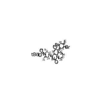 CC1CN(c2nc(=O)n3c4c(c(-c5cc(Br)c(F)cc5F)c(C(F)(F)F)cc24)SCC=C3)CC(C)N1C(=O)OC(C)(C)C